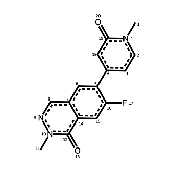 Cn1ccc(-c2cc3cnn(C)c(=O)c3cc2F)cc1=O